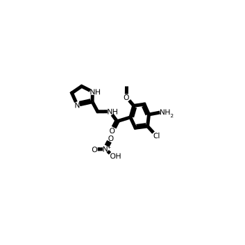 COc1cc(N)c(Cl)cc1C(=O)NCC1=NCCN1.O=[N+]([O-])O